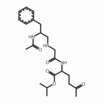 CC(=O)CCC(NC(=O)CNCC(Cc1ccccc1)NC(C)=O)C(=O)OC(C)C